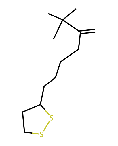 C=C(CCCCC1CCSS1)C(C)(C)C